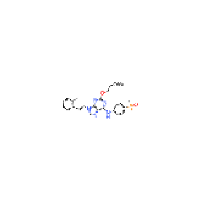 COCCOc1nc(Nc2ccc(P(C)(C)=O)cc2)c2ncn(C=Cc3c(C)cccc3C)c2n1